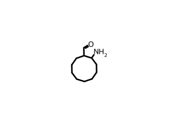 NC1CCCCCCCCC1C=O